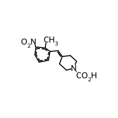 Cc1c(C=C2CCN(C(=O)O)CC2)cccc1[N+](=O)[O-]